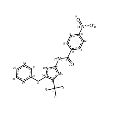 CC(C)(C)c1nc(NC(=O)c2ccc([N+](=O)[O-])cc2)sc1Cc1ccccc1